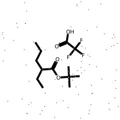 CCCC(CC)C(=O)OC(C)(C)C.O=C(O)C(F)(F)F